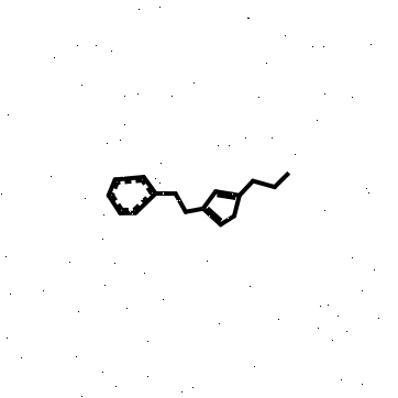 CCCC1=CC(CCc2ccccc2)=CC1